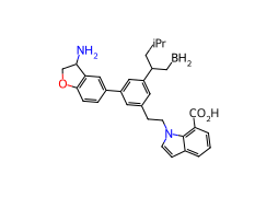 BCC(CC(C)C)c1cc(CCn2ccc3cccc(C(=O)O)c32)cc(-c2ccc3c(c2)C(N)CO3)c1